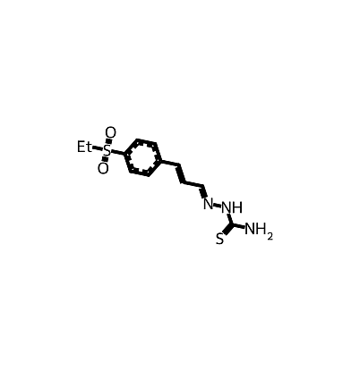 CCS(=O)(=O)c1ccc(C=CC=NNC(N)=S)cc1